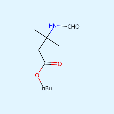 CCCCOC(=O)CC(C)(C)NC=O